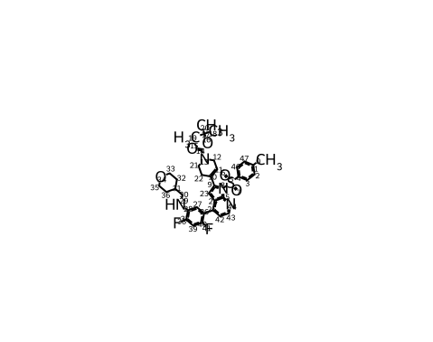 Cc1ccc(S(=O)(=O)n2c(C3=CCN(C(=O)OC(C)(C)C)CC3)cc3c(-c4cc(NCC5CCOCC5)c(F)cc4F)ccnc32)cc1